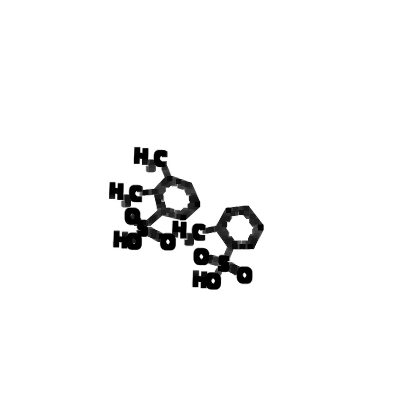 Cc1cccc(S(=O)(=O)O)c1C.Cc1ccccc1S(=O)(=O)O